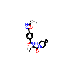 Cc1nnc(-c2ccc(C(=O)N[C@@H](C)C(=O)N3CCC4(CC3)CC4)cc2)o1